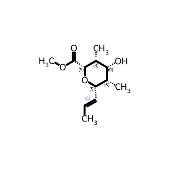 C/C=C/[C@@H]1O[C@H](C(=O)OC)[C@H](C)[C@H](O)[C@@H]1C